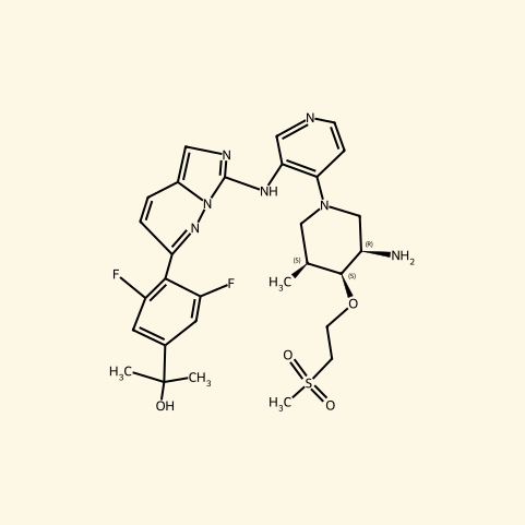 C[C@H]1CN(c2ccncc2Nc2ncc3ccc(-c4c(F)cc(C(C)(C)O)cc4F)nn23)C[C@@H](N)[C@H]1OCCS(C)(=O)=O